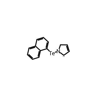 [C]1C=CCN1[Te]c1cccc2ccccc12